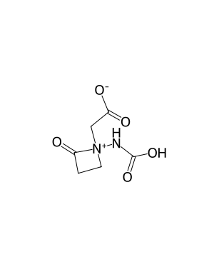 O=C([O-])C[N+]1(NC(=O)O)CCC1=O